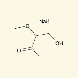 COC(CO)C(C)=O.[NaH]